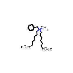 CCCCCCCCCCCCCCCC[N+](C)(CCCCCCCCCCCCCCCC)Cc1ccccc1